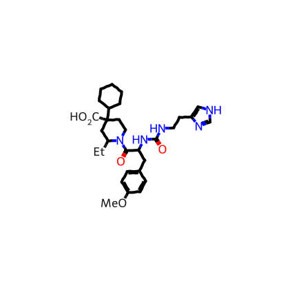 CCC1CC(C(=O)O)(C2CCCCC2)CCN1C(=O)C(Cc1ccc(OC)cc1)NC(=O)NCCc1c[nH]cn1